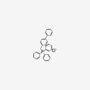 [Cl-].c1ccc(-c2ccc(C[P+](c3ccccc3)(c3ccccc3)c3ccccc3)cc2)cc1